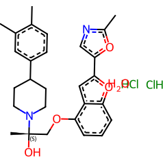 Cc1ncc(-c2cc3c(OC[C@](C)(O)N4CCC(c5ccc(C)c(C)c5)CC4)cccc3o2)o1.Cl.Cl.O